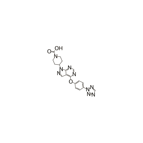 O=C(O)N1CCC(n2ncc3c(Oc4ccc(-n5ncnn5)cc4)ncnc32)CC1